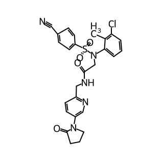 Cc1c(Cl)cccc1N(CC(=O)NCc1ccc(N2CCCC2=O)cn1)S(=O)(=O)c1ccc(C#N)cc1